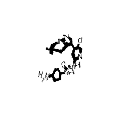 CC1(C)Cc2c(-c3cc(NC(=O)NC4CCC(N)CC4)ncc3Cl)cnn2C1